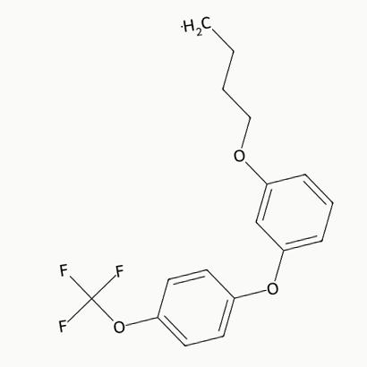 [CH2]CCCOc1cccc(Oc2ccc(OC(F)(F)F)cc2)c1